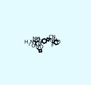 N#CC1(NCC2(F)CCOCC2)CC2(CCC(N3C(=O)C(=C(N)N)C(=O)N(CC4CCC4)C3=O)CC2)C1